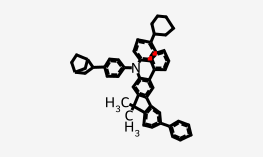 CC1(C)c2ccc(-c3ccccc3)cc2-c2cc(-c3ccccc3)c(N(c3ccc(C4CCCCC4)cc3)c3ccc(C4CC5CCC4C5)cc3)cc21